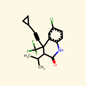 CC(C)C1C(=O)Nc2ccc(Cl)cc2C1(C#CC1CC1)C(F)(F)F